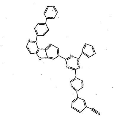 N#Cc1cccc(-c2ccc(-c3nc(-c4ccccc4)nc(-c4ccc5c(c4)oc4ccnc(-c6ccc(-c7ccccc7)cc6)c45)n3)cc2)c1